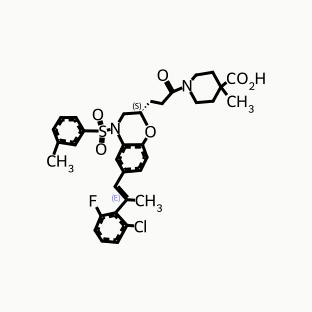 C/C(=C\c1ccc2c(c1)N(S(=O)(=O)c1cccc(C)c1)C[C@H](CCC(=O)N1CCC(C)(C(=O)O)CC1)O2)c1c(F)cccc1Cl